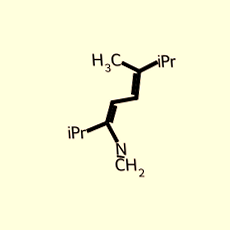 C=N/C(=C\C=C(/C)C(C)C)C(C)C